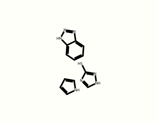 Sc1nc[nH]n1.c1cc[nH]c1.c1ccc2[nH]nnc2c1